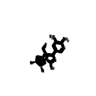 CC(C)c1nc(-c2cnc(N)c(C(F)(F)F)c2)cn1[C@]12C3[C@@H]1[C@@H]2CN3CCF